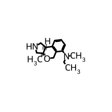 CCN(C)c1cccc2c1CO[C@@]1(C)CNC[C@@H]21